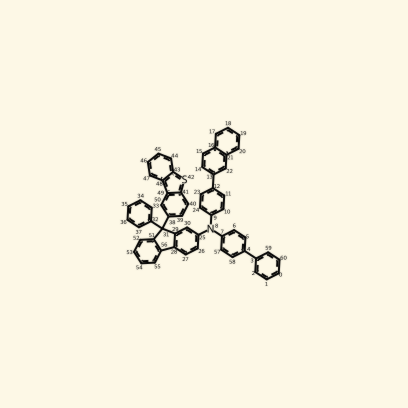 c1ccc(-c2ccc(N(c3ccc(-c4ccc5ccccc5c4)cc3)c3ccc4c(c3)C(c3ccccc3)(c3ccc5sc6ccccc6c5c3)c3ccccc3-4)cc2)cc1